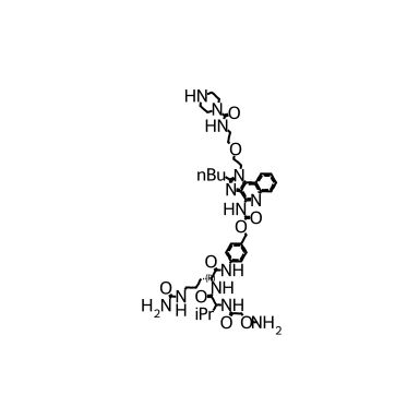 CCCCc1nc2c(NC(=O)OCc3ccc(NC(=O)[C@@H](CCCNC(N)=O)NC(=O)C(NC(=O)CON)C(C)C)cc3)nc3ccccc3c2n1CCOCCNC(=O)N1CCNCC1